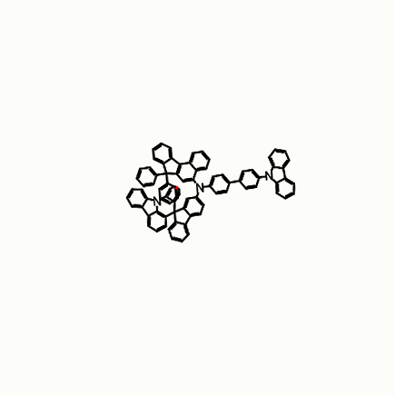 c1ccc(C2(c3ccccc3)c3ccccc3-c3c2cc(N(c2ccc(-c4ccc(-n5c6ccccc6c6ccccc65)cc4)cc2)c2ccc4c(c2)C2(c5ccccc5-4)c4ccccc4-n4c5ccccc5c5cccc2c54)c2ccccc32)cc1